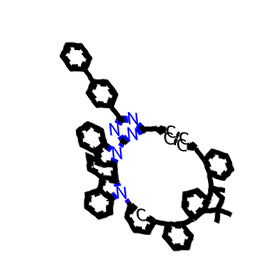 CC1(C)CC2(C)c3ccccc3-c3ccc(cc3)-c3nc(-c4ccc(-c5ccccc5)cc4)nc(n3)-n3c4ccccc4c4ccc5c6ccccc6n(c5c43)-c3cccc(c3)-c3ccccc3-c3cccc2c31